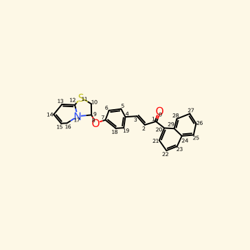 O=C(/C=C/c1ccc(OC2CSC3=CC=CCN32)cc1)c1cccc2ccccc12